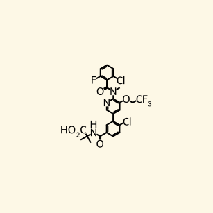 CN(C(=O)c1c(F)cccc1Cl)c1ncc(-c2cc(C(=O)NC(C)(C)C(=O)O)ccc2Cl)cc1OCC(F)(F)F